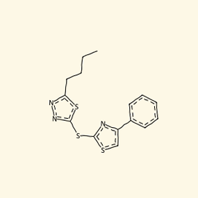 CCCCc1nnc(Sc2nc(-c3ccccc3)cs2)s1